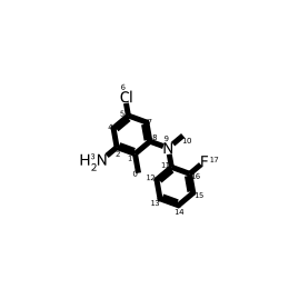 Cc1c(N)cc(Cl)cc1N(C)c1ccccc1F